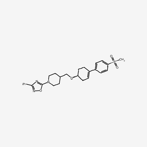 CC(C)c1noc(N2CCC(COC3CC=C(c4ccc(S(C)(=O)=O)cc4)CC3)CC2)n1